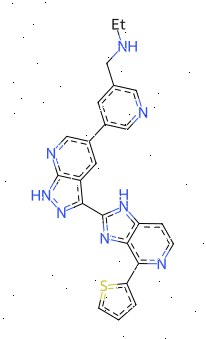 CCNCc1cncc(-c2cnc3[nH]nc(-c4nc5c(-c6cccs6)nccc5[nH]4)c3c2)c1